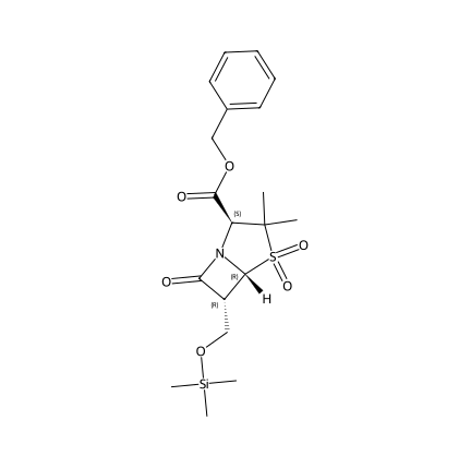 CC1(C)[C@H](C(=O)OCc2ccccc2)N2C(=O)[C@@H](CO[Si](C)(C)C)[C@H]2S1(=O)=O